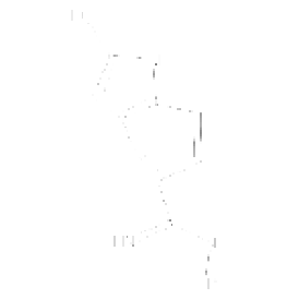 CCc1nc2cc(C(=N)NC(C)C)ccc2[nH]1